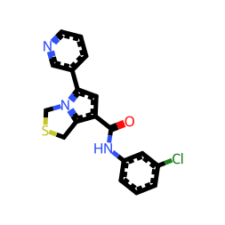 O=C(Nc1cccc(Cl)c1)c1cc(-c2cccnc2)n2c1CSC2